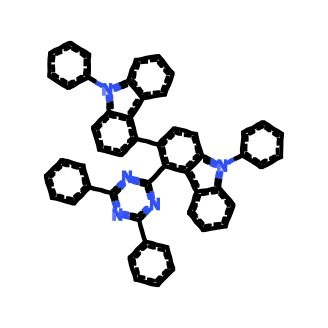 c1ccc(-c2nc(-c3ccccc3)nc(-c3c(-c4cccc5c4c4ccccc4n5-c4ccccc4)ccc4c3c3ccccc3n4-c3ccccc3)n2)cc1